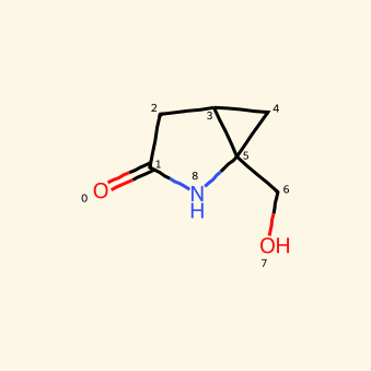 O=C1CC2CC2(CO)N1